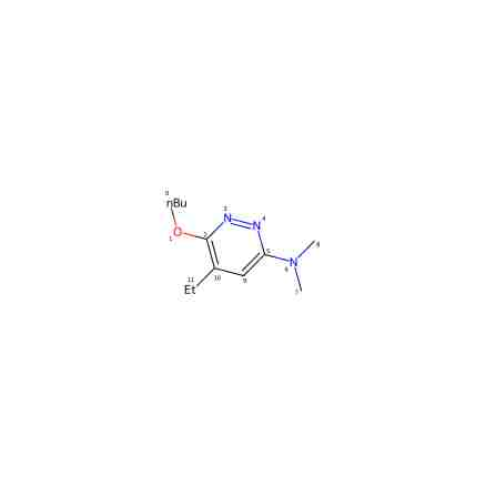 CCCCOc1nnc(N(C)C)cc1CC